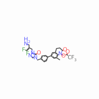 Cc1cc(-c2ccc(Cn3cnn(CC(CN)=C(F)F)c3=O)cc2)cc2c1N(OC(=O)C(F)(F)F)C(=O)CC2